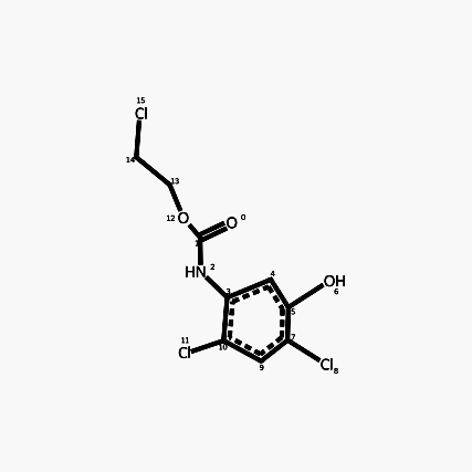 O=C(Nc1cc(O)c(Cl)cc1Cl)OCCCl